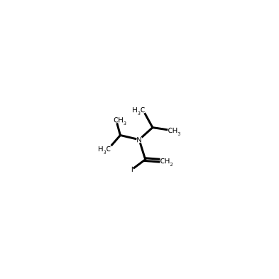 C=C(I)N(C(C)C)C(C)C